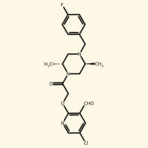 C[C@@H]1CN(Cc2ccc(F)cc2)[C@@H](C)CN1C(=O)COc1ncc(Cl)cc1C=O